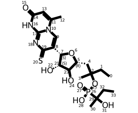 CCC(C)(C[C@H]1O[C@@H](c2cn3c(C)cc(=O)[nH]c3nc2=S)[C@@H](O)C1O)OP(=O)(O)C(C)(O)CC